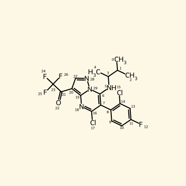 CC(C)C(C)Nc1c(-c2ccc(F)cc2Cl)c(Cl)nc2c(C(=O)C(F)(F)F)cnn12